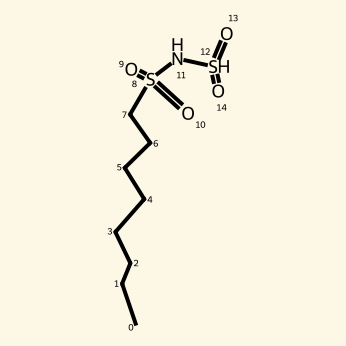 CCCCCCCCS(=O)(=O)N[SH](=O)=O